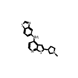 CN1CCC(c2cc3c(Nc4ccc5scnc5c4)ccnc3s2)C1